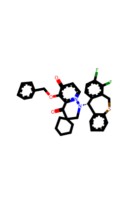 O=C1c2c(OCc3ccccc3)c(=O)ccn2N([C@H]2c3ccccc3SCc3c2ccc(F)c3F)CC12CCCCC2